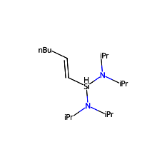 CCCCC=C[SiH](N(C(C)C)C(C)C)N(C(C)C)C(C)C